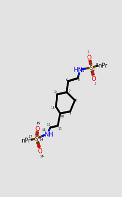 CCCS(=O)(=O)NCCC1CCC(CCNS(=O)(=O)CCC)CC1